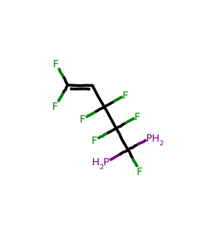 FC(F)=CC(F)(F)C(F)(F)C(F)(P)P